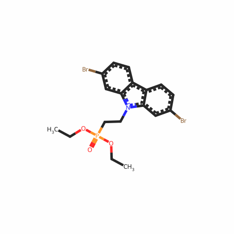 CCOP(=O)(CCn1c2cc(Br)ccc2c2ccc(Br)cc21)OCC